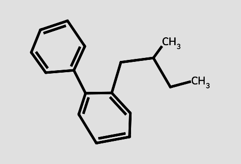 CCC(C)Cc1ccccc1-c1ccccc1